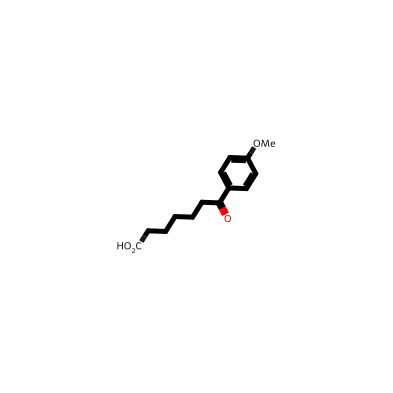 COc1ccc(C(=O)CCCCCC(=O)O)cc1